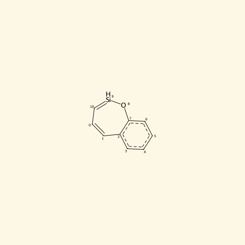 C1=Cc2ccccc2O[SiH]=C1